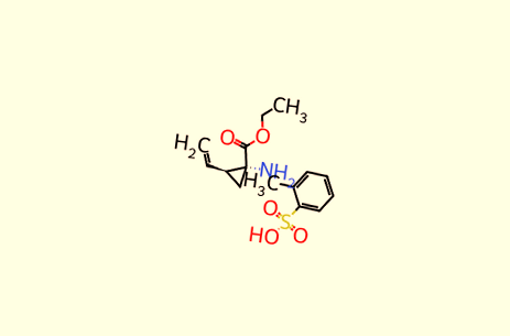 C=C[C@@H]1C[C@]1(N)C(=O)OCC.Cc1ccccc1S(=O)(=O)O